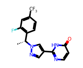 C[C@H](c1ccc(C(F)(F)F)cc1F)n1cc(-c2nccc(=O)[nH]2)cn1